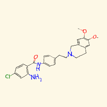 COc1cc2c(cc1OC)CN(CCc1ccc(NC(=O)c3ccc(Cl)cc3N)cc1)CC2